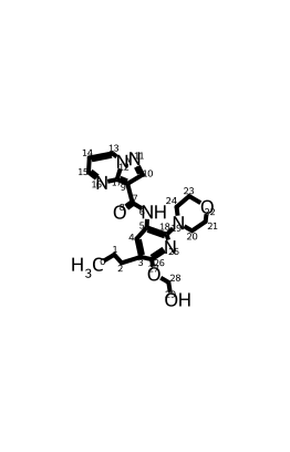 CCCc1cc(NC(=O)c2cnn3cccnc23)c(N2CCOCC2)nc1OCO